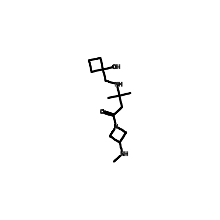 CNC1CN(C(=O)CC(C)(C)NCC2(O)CCC2)C1